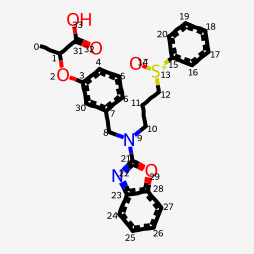 CC(Oc1cccc(CN(CCC[S+]([O-])c2ccccc2)c2nc3ccccc3o2)c1)C(=O)O